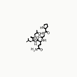 C=C(NCC(C)=O)[C@H](CC(C)C)NC(=O)C(CCC(N)=O)NC(=O)CNC(=O)C1CCCN1